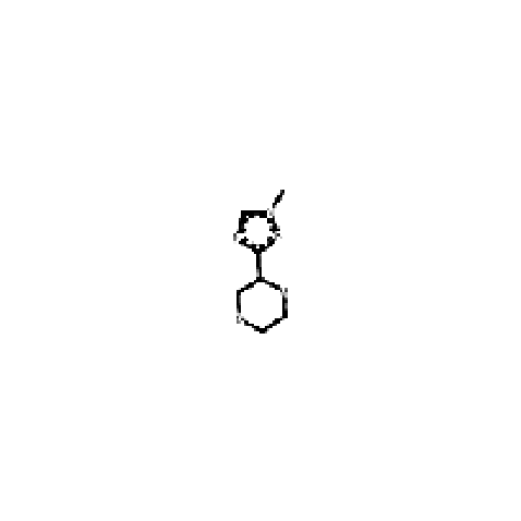 Cn1cnc(C2COCCO2)n1